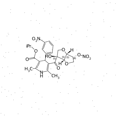 CC1=C(C(=O)OC(C)C)C(c2cccc([N+](=O)[O-])c2)C(C(=O)[C@]2(O)CO[C@@H]3[C@H](O[N+](=O)[O-])CO[C@@H]32)=C(C)N1